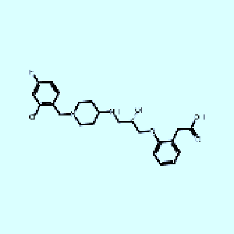 O=C(O)Cc1ccccc1OC[C@@H](O)CNC1CCN(Cc2ccc(F)cc2Cl)CC1